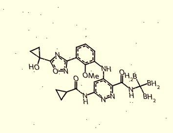 BC(B)(B)NC(=O)c1nnc(NC(=O)C2CC2)cc1Nc1cccc(-c2noc(C3(O)CC3)n2)c1OC